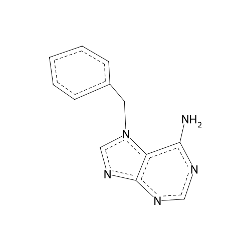 Nc1ncnc2ncn(Cc3ccccc3)c12